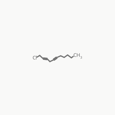 CCCCCC#CCC#CCCl